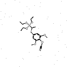 CCO[Si](OCC)(OCC)C(C)Cc1cc(OC)c(OC#N)c(OC)c1